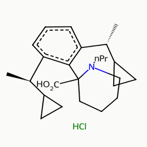 CCCN1CCCCC1(C(=O)O)c1c([C@H](C)C2CC2)cccc1[C@H](C)C1CC1.Cl